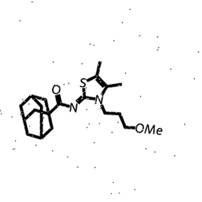 COCCCn1c(C)c(C)s/c1=N\C(=O)C12CC3CC(CC(C3)C1)C2